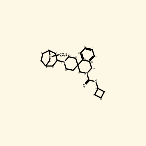 CCOC(=O)N1CC2CCC1CC(N1CCC3(CC1)CN(C(=O)OC1CCC1)Cc1ccccc13)C2